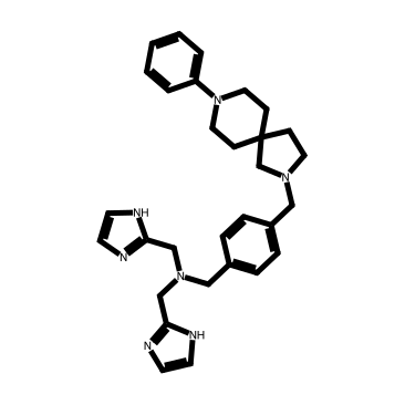 c1ccc(N2CCC3(CCN(Cc4ccc(CN(Cc5ncc[nH]5)Cc5ncc[nH]5)cc4)C3)CC2)cc1